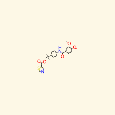 COc1ccc(C(=O)Nc2ccc(C(C)(C)COC(=O)c3cncs3)cc2)cc1OC